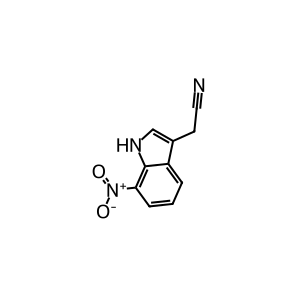 N#CCc1c[nH]c2c([N+](=O)[O-])cccc12